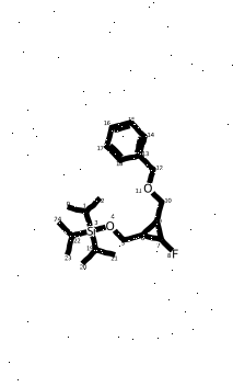 CC(C)[Si](OCC1C(F)C1COCc1ccccc1)(C(C)C)C(C)C